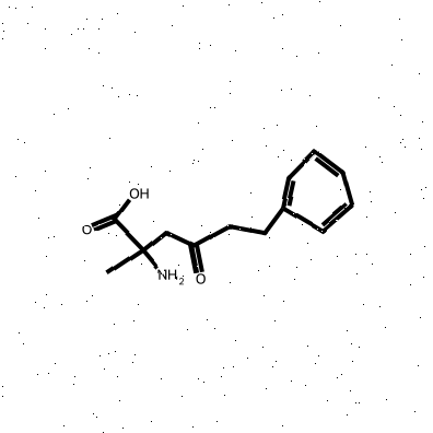 CC(N)(CC(=O)CCc1ccccc1)C(=O)O